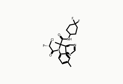 Cc1ccc(N(C(=O)[C@H](F)Cl)C(C)(C(=O)NC2CCC(F)(F)CC2)c2cncnc2)cc1